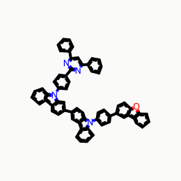 c1ccc(-c2cc(-c3ccccc3)nc(-c3ccc(-n4c5ccccc5c5ccc(-c6ccc7c(c6)c6ccccc6n7-c6ccc(-c7ccc8oc9ccccc9c8c7)cc6)cc54)cc3)n2)cc1